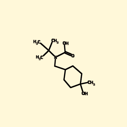 CC1(O)CCC(CN(C(=O)O)C(C)(C)C)CC1